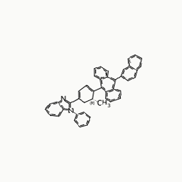 C[C@@H]1CC(c2nc3ccccc3n2-c2ccccc2)=CC=C1c1c2ccccc2c(-c2ccc3ccccc3c2)c2ccccc12